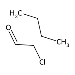 CCCC.O=CCCl